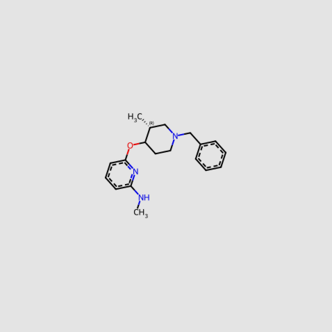 CNc1cccc(OC2CCN(Cc3ccccc3)C[C@H]2C)n1